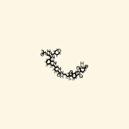 CC(=O)N1CCn2c(C3CCOCC3)nc(-c3cccc4cc(-c5ccc(C(=O)NCCC[C@]6(C)COc7c6ccc6c7CN(C7CCC(=O)NC7=O)C6=O)nc5)ncc34)c2C1